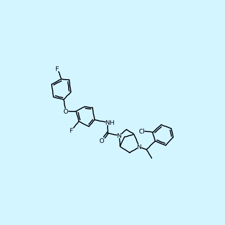 CC(c1ccccc1Cl)N1CC2CC1CN2C(=O)Nc1ccc(Oc2ccc(F)cc2)c(F)c1